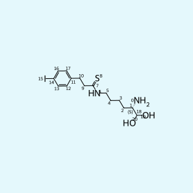 N[C@@H](CCCCNC(=S)CCc1ccc(I)cc1)C(O)O